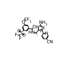 C[C@H](NC(=O)c1cc(OC(F)(F)F)cc(S(=O)(=O)C(F)F)c1)c1nc(N)nn1-c1ccc(C#N)cn1